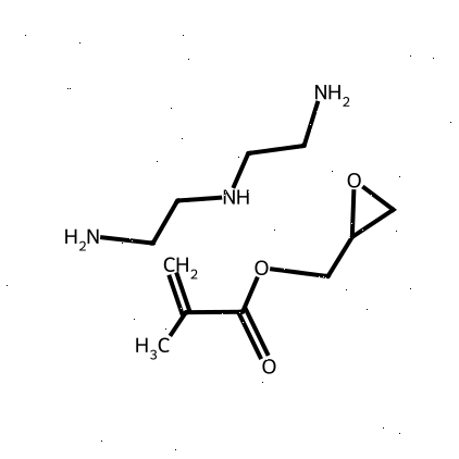 C=C(C)C(=O)OCC1CO1.NCCNCCN